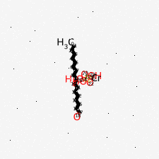 CCCCCCCCCCCCCCCCCC=O.O.O=S(=O)(O)O.[Cr]